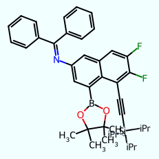 CC(C)[Si](C#Cc1c(F)c(F)cc2cc(N=C(c3ccccc3)c3ccccc3)cc(B3OC(C)(C)C(C)(C)O3)c12)(C(C)C)C(C)C